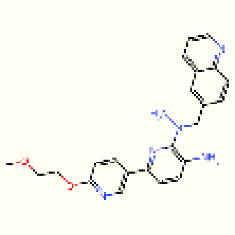 COCCOc1ccc(-c2ccc(N)c(N(N)Cc3ccc4ncccc4c3)n2)cn1